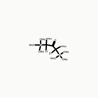 CCCCCCC(CC)(C(=O)C(CC)(CCCCCC)[Si](OC)(OC)OC)[Si](OC)(OC)OC